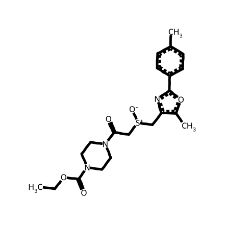 CCOC(=O)N1CCN(C(=O)C[S+]([O-])Cc2nc(-c3ccc(C)cc3)oc2C)CC1